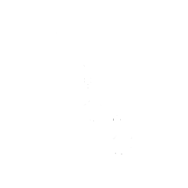 C=CCCC12CCC(c3cccc(Oc4ccccc4)c3)(CC1)OC2